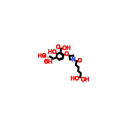 O=C(O)C1=C(OC2CN(C(=O)CCCCC(O)O)C2)C=CC(CCB(O)O)C1O